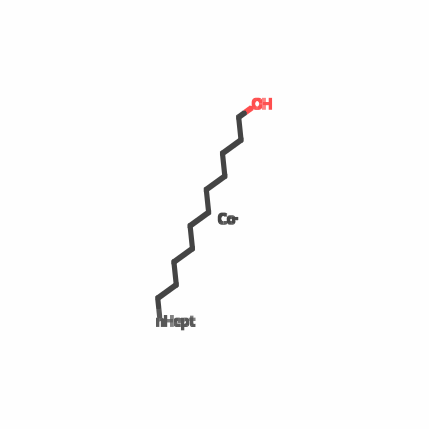 CCCCCCCCCCCCCCCCCCO.[Co]